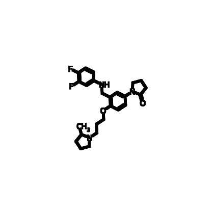 CC1CCCN1CCCOc1ccc(N2CCCC2=O)cc1CNc1ccc(F)c(F)c1